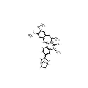 COc1cc2c(cc1OC)CC(C)N(C(=O)N(C)c1cccc(N3CC4CCC(C3)O4)c1)N=C2